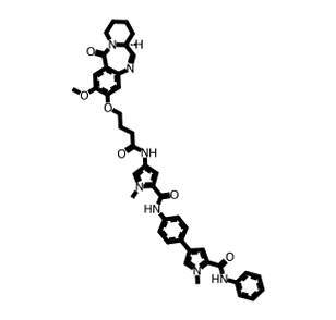 COc1cc2c(cc1OCCCC(=O)Nc1cc(C(=O)Nc3ccc(-c4cc(C(=O)Nc5ccccc5)n(C)c4)cc3)n(C)c1)N=C[C@@H]1CCCCN1C2=O